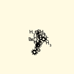 Cc1ccc(C(NC(=O)OC(C)(C)C)C(=O)O[C@H]2C[N+]3(CC(=O)c4ccccc4)CCC2CC3)cc1.[Br-]